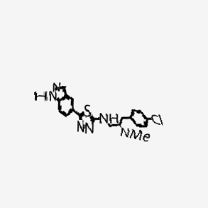 CN[C@H](CNc1nnc(-c2ccc3[nH]ncc3c2)s1)Cc1ccc(Cl)cc1